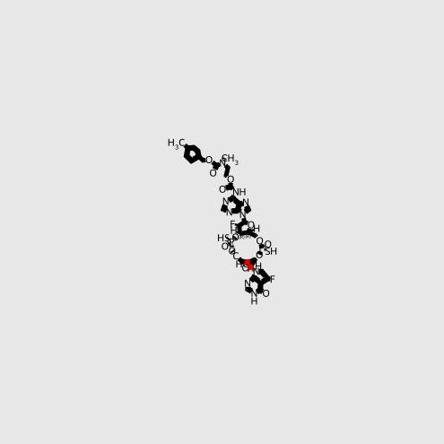 Cc1ccc(COC(=O)N(C)CCOC(=O)Nc2ncnc3c2ncn3C2O[C@@H]3CO[P@@](=O)(S)O[C@@H]4[C@H](O)C(CO[P@@](=O)(S)O[C@H]3[C@H]2F)O[C@H]4n2cc(F)c3c(=O)[nH]cnc32)cc1